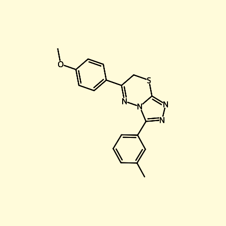 COc1ccc(C2=Nn3c(nnc3-c3cccc(C)c3)SC2)cc1